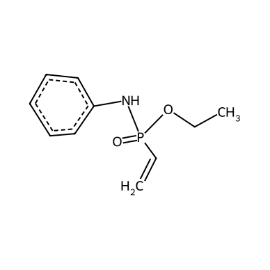 C=CP(=O)(Nc1ccccc1)OCC